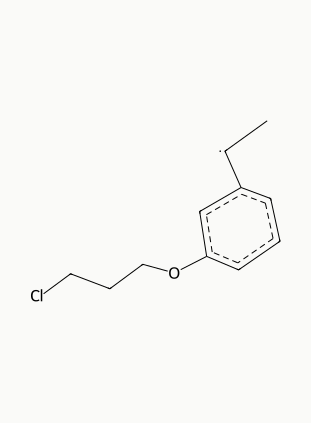 C[CH]c1cccc(OCCCCl)c1